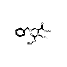 COC(=O)[C@H](COCc1ccccc1)N(C)C(=O)OC(C)(C)C